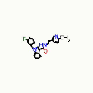 Cc1ccc(CCNC(=O)c2cn(Cc3cccc(F)c3)c3ccccc23)cn1